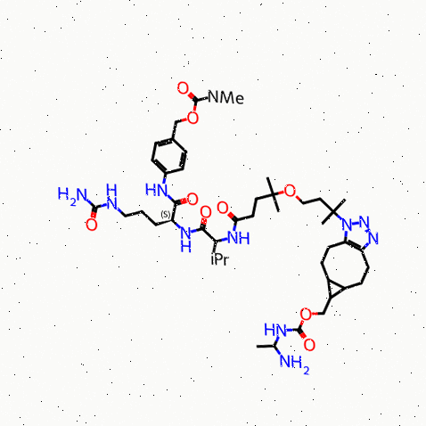 CNC(=O)OCc1ccc(NC(=O)[C@H](CCCNC(N)=O)NC(=O)C(NC(=O)CCC(C)(C)OCCC(C)(C)n2nnc3c2CCC2C(CC3)C2COC(=O)NC(C)N)C(C)C)cc1